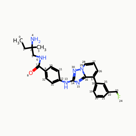 CCC(C)(N)CNC(=O)c1ccc(Nc2nc3c(-c4cccc(CF)c4)cccn3n2)cc1